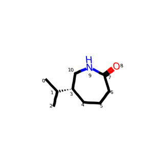 CC(C)[C@H]1CCCC(=O)NC1